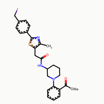 COC(=O)c1ccccc1N1CCCC(NC(=O)Cc2sc(-c3ccc(CI)cc3)nc2C)C1